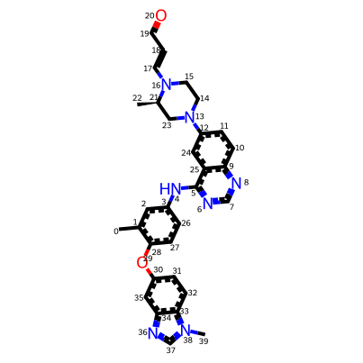 Cc1cc(Nc2ncnc3ccc(N4CCN(C=CC=O)[C@H](C)C4)cc23)ccc1Oc1ccc2c(c1)ncn2C